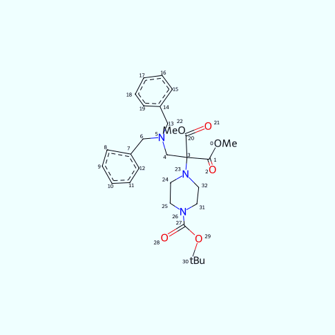 COC(=O)C(CN(Cc1ccccc1)Cc1ccccc1)(C(=O)OC)N1CCN(C(=O)OC(C)(C)C)CC1